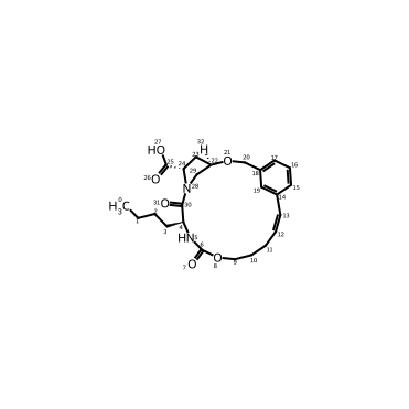 CCCC[C@@H]1NC(=O)OCCCC=Cc2cccc(c2)CO[C@@H]2C[C@@H](C(=O)O)N(C2)C1=O